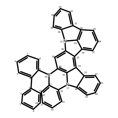 c1ccc(-c2ccccc2B2c3ccccc3-n3c4ccccc4c4c5c6cccc7c8ccccc8n(c5cc2c43)c76)cc1